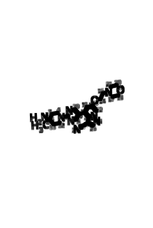 CC1(N)CCN(c2ncc(-c3cc(OCCN4CCOCC4)cn4ncc(C#N)c34)cn2)CC1